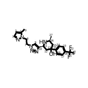 Cc1ccnn1CCn1cc([C@@H]2CC(O)(c3ccc(C(F)(F)F)cc3)C[C@H](C)N2)nn1